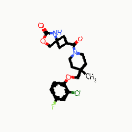 CC1(COc2ccc(F)cc2Cl)CCN(C(=O)C2CC3(COC(=O)N3)C2)CC1